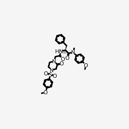 COc1ccc(N(C)C(=O)[C@H](Cc2ccccc2)NC(=O)CN2CCN(S(=O)(=O)c3ccc(OC)cc3)CC2=O)cc1